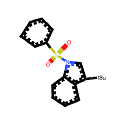 CC(C)(C)c1cn(S(=O)(=O)c2ccccc2)c2ccccc12